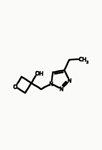 CCc1cn(CC2(O)COC2)nn1